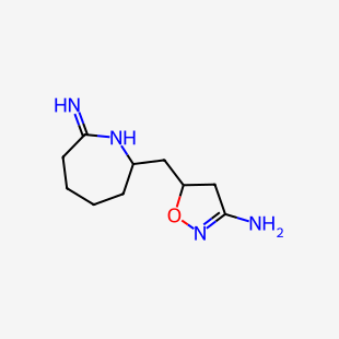 N=C1CCCCC(CC2CC(N)=NO2)N1